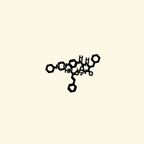 NC(=O)C(CC1CCCCC1)NC(=O)Nc1ccc(N2CCN(C3CCCCC3)CC2)c(NC(=O)/C=C/c2ccccc2)c1